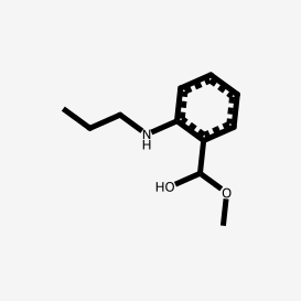 CCCNc1ccccc1C(O)OC